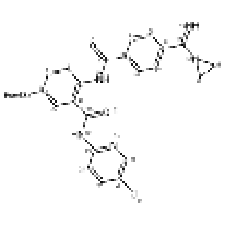 COc1ccc(NC(=O)c2ccc(C(=N)N3CC3)cc2)c(C(=O)Nc2ccc(Cl)cn2)c1